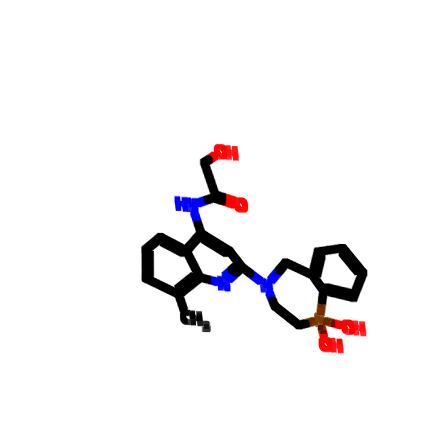 Cc1cccc2c(NC(=O)CO)cc(N3CCS(O)(O)c4ccccc4C3)nc12